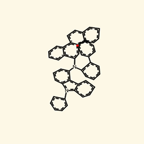 c1ccc(-c2ccccc2N(c2cc3c4ccccc4ccc3c3ccccc23)c2cccc3c2c2ccccc2n3-c2ccccc2)cc1